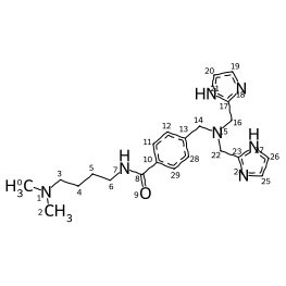 CN(C)CCCCNC(=O)c1ccc(CN(Cc2ncc[nH]2)Cc2ncc[nH]2)cc1